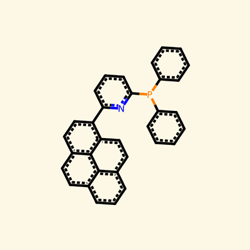 c1ccc(P(c2ccccc2)c2cccc(-c3ccc4ccc5cccc6ccc3c4c56)n2)cc1